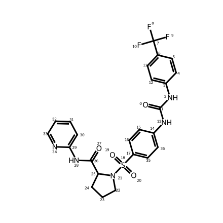 O=C(Nc1ccc(C(F)(F)F)cc1)Nc1ccc(S(=O)(=O)N2CCCC2C(=O)Nc2ccccn2)cc1